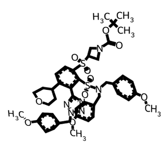 COc1ccc(CN(Cc2ccc(OC)cc2)S(=O)(=O)c2c(S(=O)(=O)C3CN(C(=O)OC(C)(C)C)C3)ccc(C3CCOCC3)c2-c2nnn(Cc3ccc(OC)cc3)n2)cc1